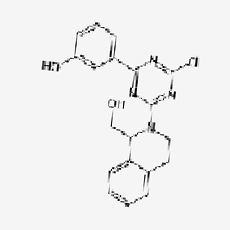 OCC1c2ccccc2CCN1c1nc(Cl)nc(-c2cccc(O)c2)n1